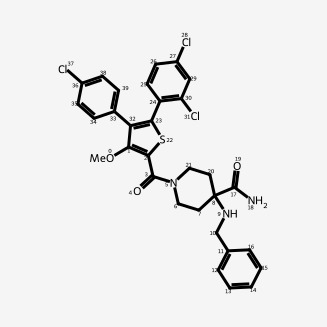 COc1c(C(=O)N2CCC(NCc3ccccc3)(C(N)=O)CC2)sc(-c2ccc(Cl)cc2Cl)c1-c1ccc(Cl)cc1